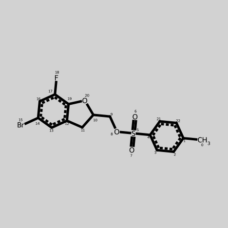 Cc1ccc(S(=O)(=O)OCC2Cc3cc(Br)cc(F)c3O2)cc1